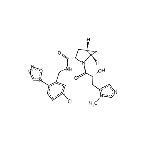 Cn1cncc1C[C@@H](O)C(=O)N1[C@H](C(=O)NCc2cc(Cl)ccc2-n2cnnn2)C[C@@H]2C[C@@H]21